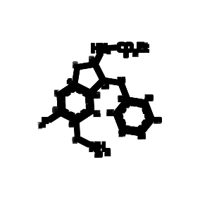 CCOC(=O)NC1Cc2cc(F)c(CN)cc2C1Cc1ccccc1